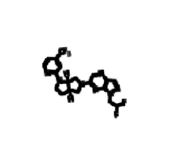 FC(F)Cn1ncc2ncc(N3C[C@@H]4CCN(c5cc(C(F)(F)F)ccn5)[C@@H]4C3)nc21